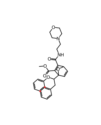 COC(=O)C1=C(C(=O)NCCN2CCOCC2)C2C=CC1(C(Cc1ccccc1)Oc1ccccc1)O2